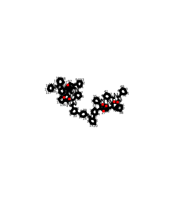 c1ccc(-c2nc(-c3cccc(-c4ccc(-n5c6ccccc6c6cc(-c7cccc8c7c7ccccc7n8-c7cccc(-c8nc(-c9ccccc9)nc(-c9ccccc9)n8)c7-n7c8ccccc8c8ccccc87)ccc65)cc4)c3)nc(-c3cccc(-n4c5ccccc5c5ccc(-c6cccc7c6c6ccccc6n7-c6ccccc6)cc54)c3-n3c4ccccc4c4ccccc43)n2)cc1